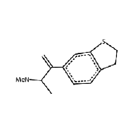 C=C(c1ccc2c(c1)SCC2)C(C)NC